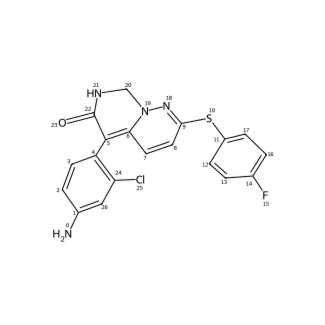 Nc1ccc(C2=C3C=CC(Sc4ccc(F)cc4)=NN3CNC2=O)c(Cl)c1